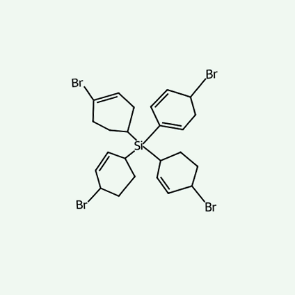 BrC1=CCC([Si](C2=CCC(Br)C=C2)(C2C=CC(Br)CC2)C2C=CC(Br)CC2)CC1